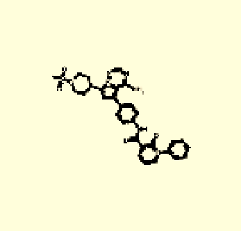 CS(=O)(=O)N1CCC(c2cc(-c3ccc(NC(=O)c4cccn(-c5ccccc5)c4=O)cc3)c3c(N)ncnn23)CC1